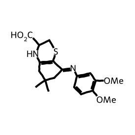 COc1ccc(N=C2CC(C)(C)CC3=C2SCC(C(=O)O)N3)cc1OC